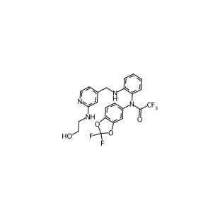 O=C(N(c1ccc2c(c1)OC(F)(F)O2)c1ccccc1NCc1ccnc(NCCO)c1)C(F)(F)F